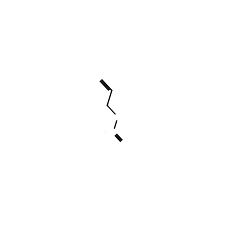 C=CCS[PH2]=S